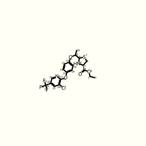 CCOC(=O)[C@@H]1CSC(C(C)Oc2ccc(Oc3ncc(C(F)(F)F)cc3Cl)cc2)N1